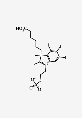 CC1=[N+](CCCS(=O)(=O)[O-])c2cc(I)c(I)c(I)c2C1(C)CCCCCC(=O)O